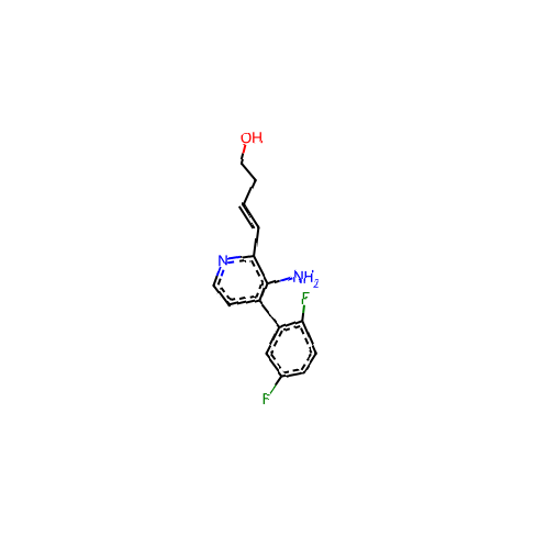 Nc1c(-c2cc(F)ccc2F)ccnc1/C=C/CCO